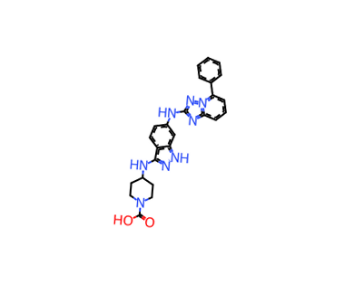 O=C(O)N1CCC(Nc2n[nH]c3cc(Nc4nc5cccc(-c6ccccc6)n5n4)ccc23)CC1